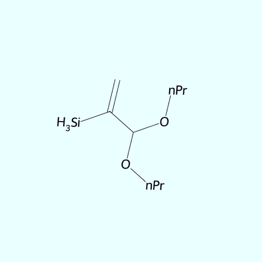 C=C([SiH3])C(OCCC)OCCC